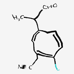 CC(C=O)c1ccc(F)c(C#N)c1